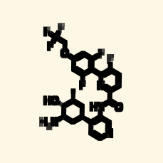 C[C@H]1C[C@@H](c2ccncc2NC(=O)c2ccc(F)c(-c3c(F)cc(OCC(F)(F)F)cc3F)n2)C[C@@H](N)[C@@H]1O